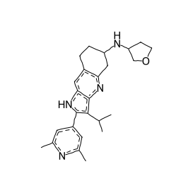 Cc1cc(-c2[nH]c3cc4c(nc3c2C(C)C)CC(NC2CCOC2)CC4)cc(C)n1